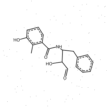 Cc1c(O)cccc1C(=O)NC(Cc1ccccc1)C(O)C=O